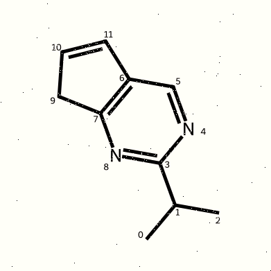 CC(C)c1ncc2c(n1)CC=C2